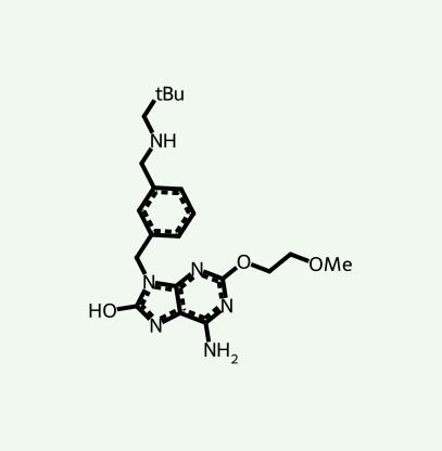 COCCOc1nc(N)c2nc(O)n(Cc3cccc(CNCC(C)(C)C)c3)c2n1